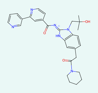 CC(C)(O)Cn1/c(=N/C(=O)c2ccnc(-c3cccnc3)c2)[nH]c2cc(CC(=O)N3CCCCC3)ccc21